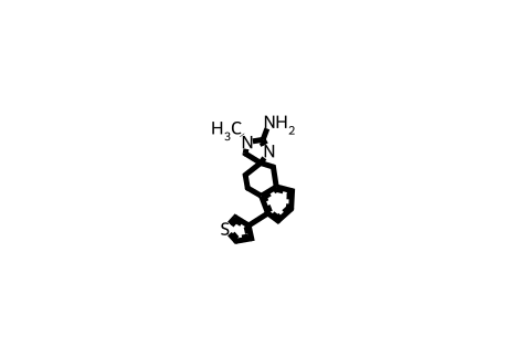 CN1CC2(CCc3c(cccc3-c3ccsc3)C2)N=C1N